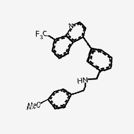 COc1ccc(CNCc2cccc(-c3[c]cnc4c(C(F)(F)F)cccc34)c2)cc1